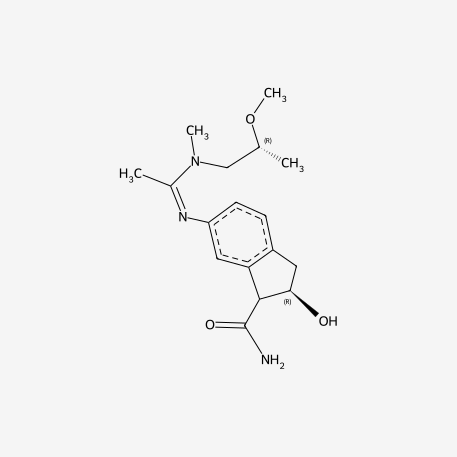 CO[C@H](C)CN(C)C(C)=Nc1ccc2c(c1)C(C(N)=O)[C@H](O)C2